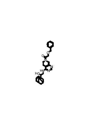 O=C(COCc1ccccc1)N1CCc2c(ncnc2NCC(O)C23CC4CC(CC(C4)C2)C3)C1